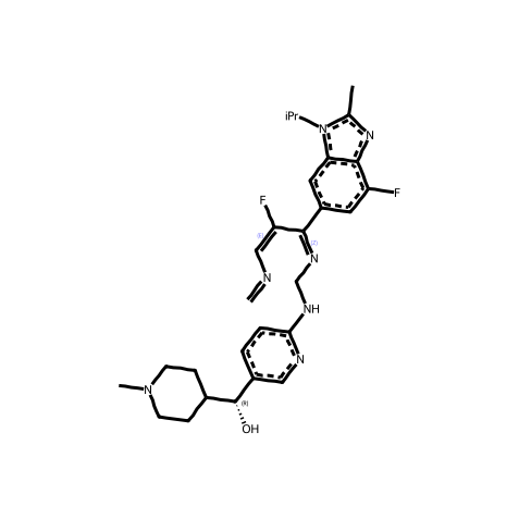 C=N/C=C(F)\C(=N/CNc1ccc([C@H](O)C2CCN(C)CC2)cn1)c1cc(F)c2nc(C)n(C(C)C)c2c1